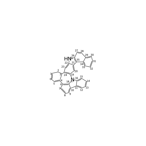 C1=CCC2C(=C1)c1cccc3c4ccccc4n(c13)-c1cc3c(cc12)[nH]c1ccc2ccccc2c13